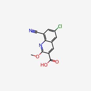 COc1nc2c(C#N)cc(Cl)cc2cc1C(=O)O